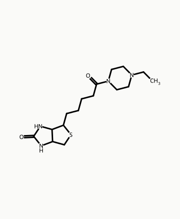 CCN1CCN(C(=O)CCCCC2SCC3NC(=O)NC32)CC1